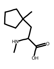 CNC(CC1(C)CCCC1)C(=O)O